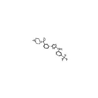 CN1CCN(C(=O)c2cccc(-c3csc(Nc4cccc(C(F)(F)F)c4)n3)c2)CC1